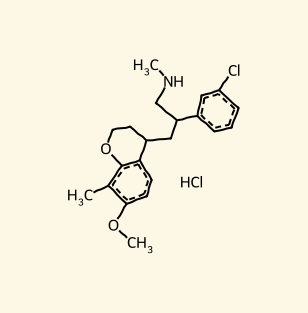 CNCC(CC1CCOc2c1ccc(OC)c2C)c1cccc(Cl)c1.Cl